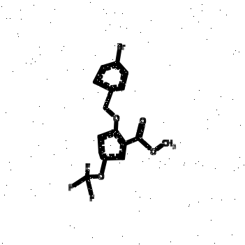 COC(=O)c1cc(OC(F)(F)F)ccc1OCc1ccc(Br)cc1